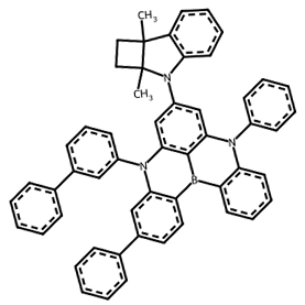 CC12CCC1(C)N(c1cc3c4c(c1)N(c1cccc(-c5ccccc5)c1)c1cc(-c5ccccc5)ccc1B4c1ccccc1N3c1ccccc1)c1ccccc12